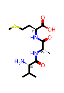 CSCC[C@H](NC(=O)[C@H](C)NC(=O)[C@@H](N)C(C)C)C(=O)O